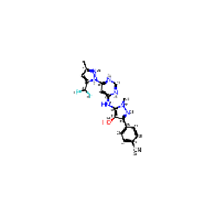 Cc1cc(C(F)F)n(-c2cc(Nc3c(O)c(-c4ccc(C#N)cc4)nn3C)ncn2)n1